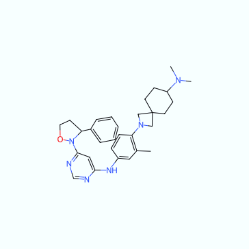 Cc1cc(Nc2cc(N3OCCC3c3ccccc3)ncn2)ccc1N1CC2(CCC(N(C)C)CC2)C1